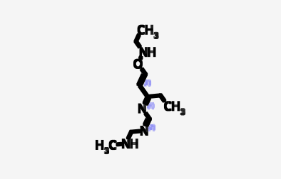 CCNO/C=C/C(CC)=N/C=N\CNC